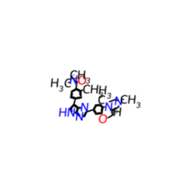 Cc1cc(-c2c[nH]c3ncc(-c4cc(C)c5c(c4)OCC[C@H]4CN(C)CCN54)nc23)ccc1C(=O)N(C)C